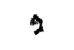 CCNC(=O)CC(C)c1cccc(CC(=O)Cc2ccc(CCCCc3nnc(NC(=O)Cc4cccc(C)c4)s3)nn2)c1